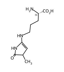 CC1C=C(NCCC[C@H](N)C(=O)O)NC1=O